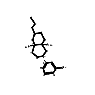 CCCC1CC[C@@H]2C[C@H](c3cccc(F)c3)CC[C@@H]2C1